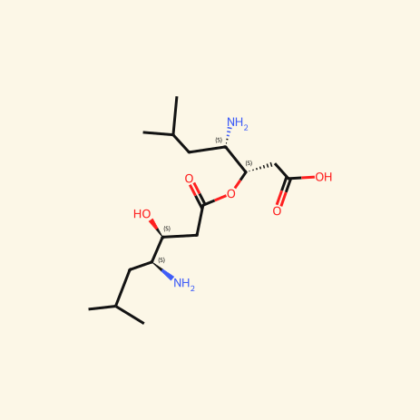 CC(C)C[C@H](N)[C@H](CC(=O)O)OC(=O)C[C@H](O)[C@@H](N)CC(C)C